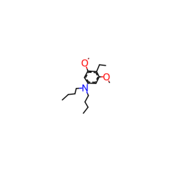 CCCCN(CCCC)c1cc(OC)c(CC)c(OC)c1